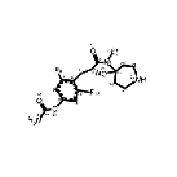 CCN(C(=O)[CH]Cc1c(F)cc(OC(N)=O)cc1F)C1(C#N)CCNCC1